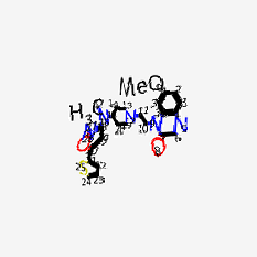 COc1ccc2ncc(=O)n(CCN3CCC(N(C)c4cc(-c5cccs5)on4)CC3)c2c1